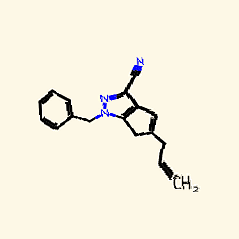 C=CCC1=Cc2c(C#N)nn(Cc3ccccc3)c2C1